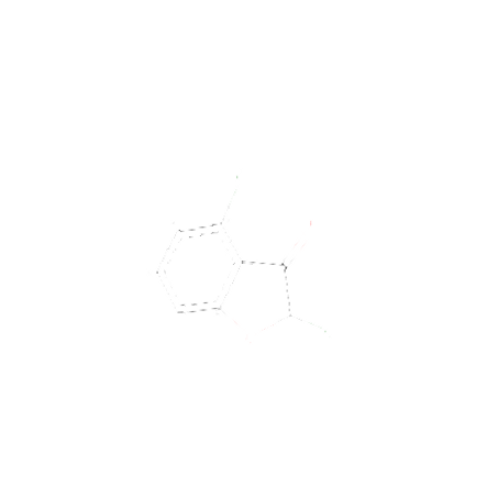 O=C1c2c(Cl)cccc2OC1Cl